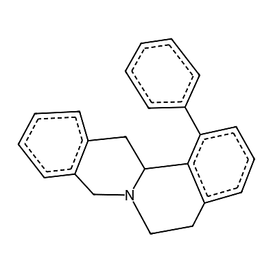 c1ccc(-c2cccc3c2C2Cc4ccccc4CN2CC3)cc1